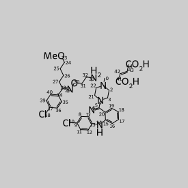 CN1CCN(C2=Nc3cc(Cl)ccc3Nc3ccccc32)CC1.COCCCC/C(=N\OCCN)c1ccc(Cl)cc1.O=C(O)/C=C/C(=O)O